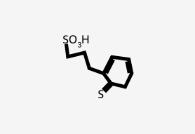 O=S(=O)(O)CCCC1=CC=CCC1=S